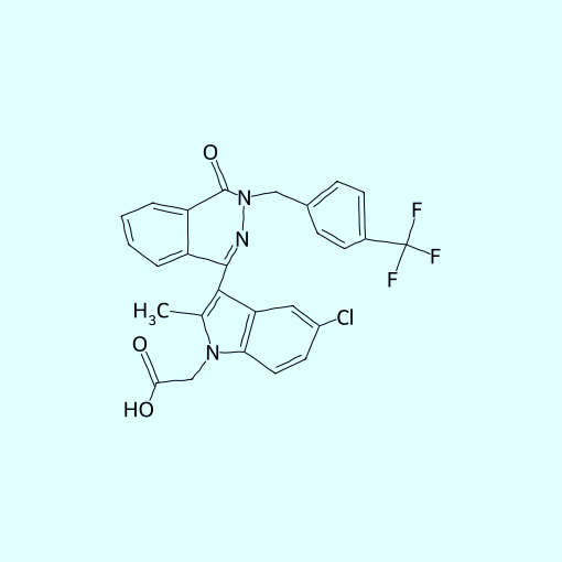 Cc1c(-c2nn(Cc3ccc(C(F)(F)F)cc3)c(=O)c3ccccc23)c2cc(Cl)ccc2n1CC(=O)O